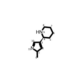 CC1C=C([C@@H]2CCCCN2)C=N1